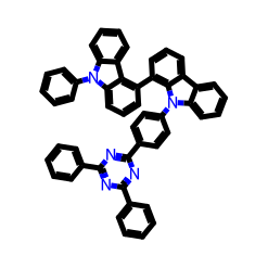 c1ccc(-c2nc(-c3ccccc3)nc(-c3ccc(-n4c5ccccc5c5cccc(-c6cccc7c6c6ccccc6n7-c6ccccc6)c54)cc3)n2)cc1